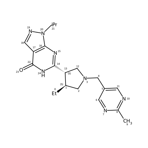 CC[C@@H]1CN(Cc2cnc(C)nc2)C[C@H]1c1nc2c(cnn2C(C)C)c(=O)[nH]1